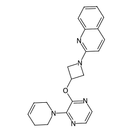 C1=CCN(c2nccnc2OC2CN(c3ccc4ccccc4n3)C2)CC1